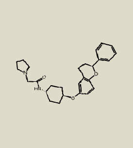 O=C(CN1CCCC1)N[C@H]1CC[C@H](Oc2ccc3c(c2)CCC(c2ccccc2)O3)CC1